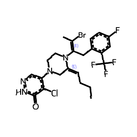 CCC/C=C1\CN(c2cn[nH]c(=O)c2Cl)CCN1/C(Cc1ccc(F)cc1C(F)(F)F)=C(\C)Br